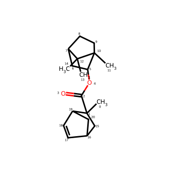 CC1(C(=O)OC2CC3CCC2(C)C3(C)C)CC2C=CC1C2